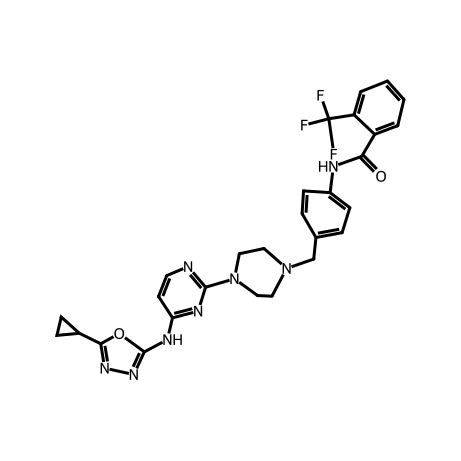 O=C(Nc1ccc(CN2CCN(c3nccc(Nc4nnc(C5CC5)o4)n3)CC2)cc1)c1ccccc1C(F)(F)F